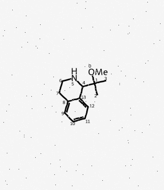 COC(C)(C)C1NCCc2ccccc21